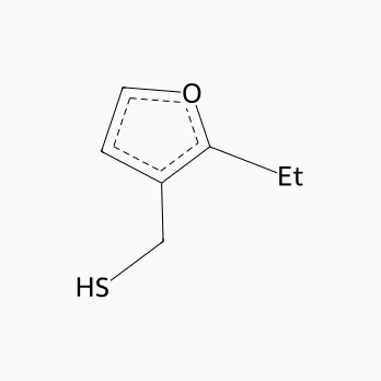 CCc1occc1CS